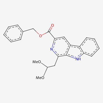 COC(Cc1nc(C(=O)OCc2ccccc2)cc2c1[nH]c1ccccc12)OC